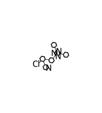 Clc1cccc(-c2cccc(-c3nc(-c4ccccc4)nc(-c4ccccc4)n3)c2)c1-c1cccnc1